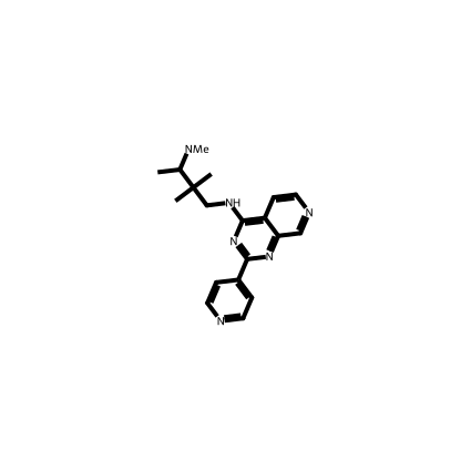 CNC(C)C(C)(C)CNc1nc(-c2ccncc2)nc2cnccc12